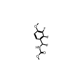 COC(=O)NC(F)c1ccc(OC)c(F)c1F